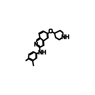 Cc1ccc(Nc2cc3cc(OC4CCNCC4)ccc3cn2)cc1C